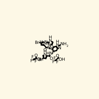 Nc1nc([C@@H]2c3[nH]c(N)nc3C[C@H](CNC(=O)c3cc(Br)c[nH]3)[C@H]2CNC(=O)c2cc(Br)c[nH]2)c[nH]1.O=C(O)C(F)(F)F.O=C(O)C(F)(F)F